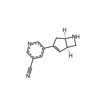 N#Cc1cncc(C2=C[C@@H]3CN[C@@H]3C2)c1